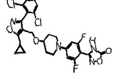 O=c1[nH]c(-c2c(F)cc(N3CCC(OCc4c(-c5c(Cl)cccc5Cl)noc4C4CC4)CC3)cc2F)no1